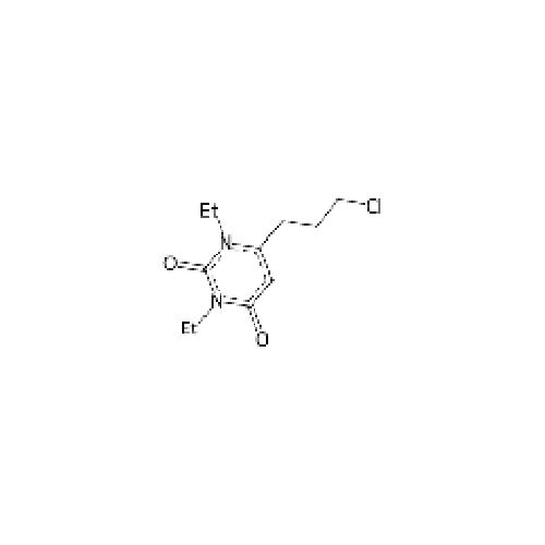 CCn1c(CCCCl)cc(=O)n(CC)c1=O